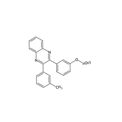 CCCCCCCCOc1cccc(-c2nc3ccccc3nc2-c2cccc(C)c2)c1